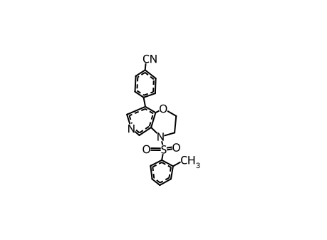 Cc1ccccc1S(=O)(=O)N1CCOc2c(-c3ccc(C#N)cc3)cncc21